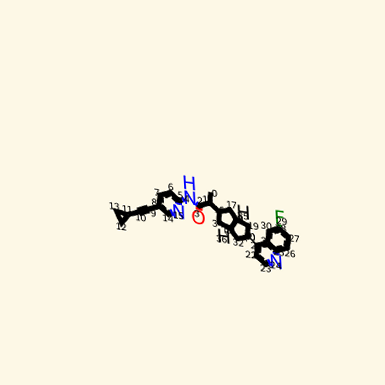 CC(C(=O)Nc1ccc(C#CC2CC2)cn1)C1C[C@@H]2C[C@H](c3ccnc4ccc(F)cc34)C[C@@H]2C1